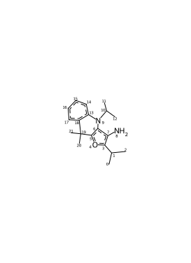 CC(C)c1oc2c(c1N)N(C(C)C)c1ccccc1C2(C)C